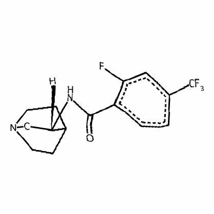 O=C(N[C@H]1CN2CCC1CC2)c1ccc(C(F)(F)F)cc1F